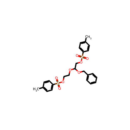 Cc1ccc(S(=O)(=O)OCCOC(COS(=O)(=O)c2ccc(C)cc2)OCc2ccccc2)cc1